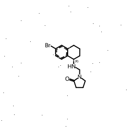 O=C1CCCN1CN[C@@H]1CCCc2cc(Br)ccc21